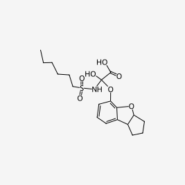 CCCCCCS(=O)(=O)NC(O)(Oc1cccc2c1OC1CCCC21)C(=O)O